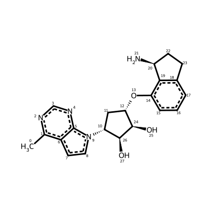 Cc1ncnc2c1ccn2[C@@H]1C[C@H](Oc2cccc3c2[C@@H](N)CC3)[C@@H](O)[C@H]1O